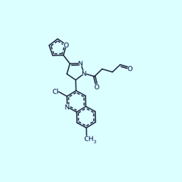 Cc1ccc2cc(C3CC(c4ccco4)=NN3C(=O)CCC=O)c(Cl)nc2c1